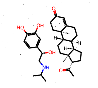 CC(=O)[C@H]1CC[C@H]2[C@@H]3CCC4=CC(=O)CC[C@]4(C)[C@H]3CC[C@]12C.CC(C)NCC(O)c1ccc(O)c(O)c1